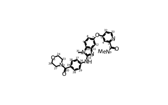 CNC(=O)c1cc(Oc2ccc3c(c2)nc(Nc2ccc(C(=O)N4CCOCC4)cc2)n3C)ccn1